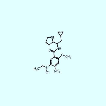 CC[S+]([O-])c1cc(C(=O)NC(CC2CC2)C2CCCN2)c(OC)cc1N